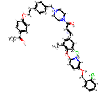 CC(=O)c1ccc(OCCc2ccc(CN3CCN(C(=O)/C=C/c4cc(C)c(Oc5ccc(OCc6ccccc6Cl)cn5)c(Cl)c4)CC3)cc2)cc1